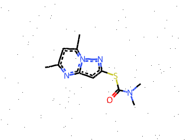 Cc1cc(C)n2nc(SC(=O)N(C)C)cc2n1